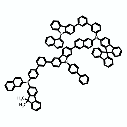 CC1(C)c2ccccc2-c2ccc(N(c3ccc(-c4cccc(-c5ccc6c(c5)c5ccc(-c7ccc8cc(N(c9cccc(-c%10cccc(-c%11ccc%12c(c%11)c%11ccccc%11n%12-c%11cccc%12ccccc%11%12)c%10)c9)c9ccc%10c(c9)C9(c%11ccccc%11-c%11ccccc%119)c9ccccc9-%10)ccc8c7)cc5n6-c5ccc(-c6ccccc6)cc5)c4)cc3)c3ccc4ccccc4c3)cc21